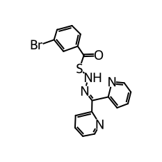 O=C(SNN=C(c1ccccn1)c1ccccn1)c1cccc(Br)c1